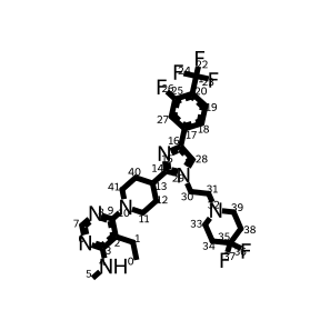 CCc1c(NC)ncnc1N1CCC(c2nc(-c3ccc(C(F)(F)F)c(F)c3)cn2CCN2CCC(F)(F)CC2)CC1